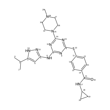 CC(C)c1cc(Nc2nc(Sc3ccc(C(=O)NC4CC4)cc3)nc(N3CCN(C)CC3)n2)n[nH]1